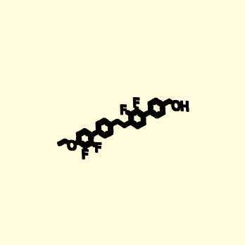 CCOc1ccc(-c2ccc(CCc3ccc(-c4ccc(CO)cc4)c(F)c3F)cc2)c(F)c1F